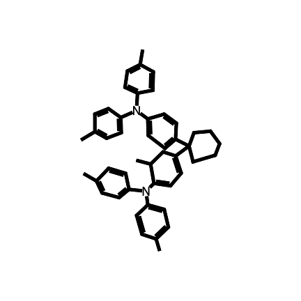 Cc1ccc(N(C2=CC=C(C3(c4ccc(N(c5ccc(C)cc5)c5ccc(C)cc5)cc4)CCCCC3)CC2C)c2ccc(C)cc2)cc1